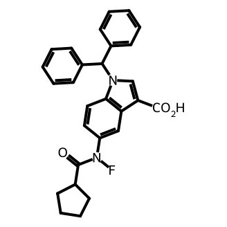 O=C(O)c1cn(C(c2ccccc2)c2ccccc2)c2ccc(N(F)C(=O)C3CCCC3)cc12